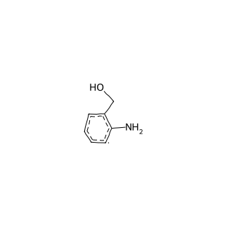 Nc1[c]cccc1CO